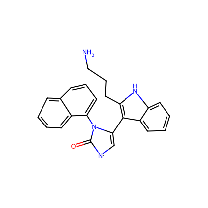 NCCCc1[nH]c2ccccc2c1C1=C[N]C(=O)N1c1cccc2ccccc12